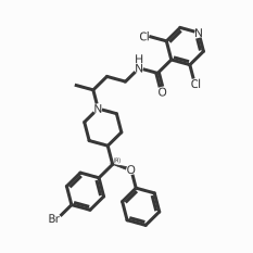 CC(CCNC(=O)c1c(Cl)cncc1Cl)N1CCC([C@@H](Oc2ccccc2)c2ccc(Br)cc2)CC1